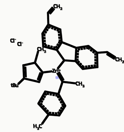 C=Cc1ccc2c(c1)-c1cc(C=C)ccc1[CH]2/[Zr+2]([C]1=CC(C(C)(C)C)=CC1C)=[C](\C)c1ccc(C)cc1.[Cl-].[Cl-]